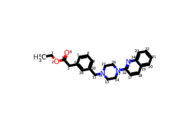 CCOC(=O)Cc1cccc(CN2CCN(c3ccc4ccccc4n3)CC2)c1